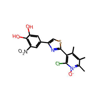 Cc1c(C)c(C)[n+]([O-])c(Cl)c1-c1nc(-c2cc(O)c(O)c([N+](=O)[O-])c2)cs1